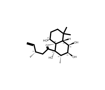 C=C[C@@H](C)CC(=O)[C@]1(O)[C@@H](C)[C@H](O)[C@H](O)[C@H]2C(C)(C)CC[C@@H](O)[C@@]21C